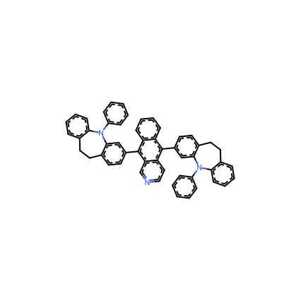 c1ccc(N2c3ccccc3CCc3ccc(-c4c5ccccc5c(-c5ccc6c(c5)N(c5ccccc5)c5ccccc5CC6)c5cnccc45)cc32)cc1